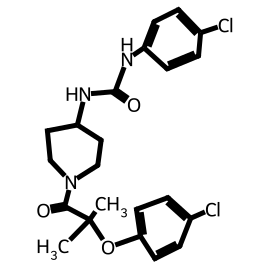 CC(C)(Oc1ccc(Cl)cc1)C(=O)N1CCC(NC(=O)Nc2ccc(Cl)cc2)CC1